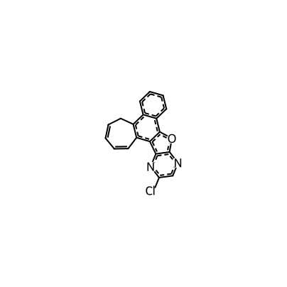 Clc1cnc2oc3c4ccccc4c4c(c3c2n1)C=CC=CC4